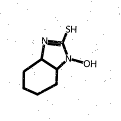 ON1C(S)=NC2CCCCC21